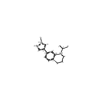 CC(C)N1CCCc2ccc(-c3cnn(C)c3)cc21